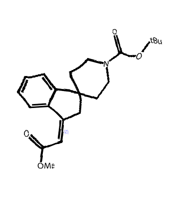 COC(=O)/C=C1/CC2(CCN(C(=O)OC(C)(C)C)CC2)c2ccccc21